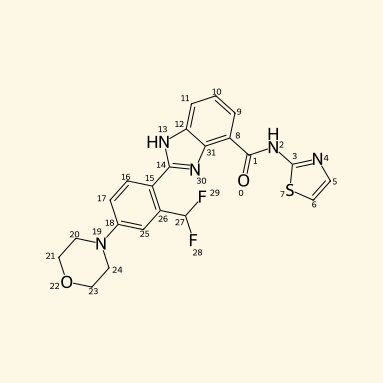 O=C(Nc1nccs1)c1cccc2[nH]c(-c3ccc(N4CCOCC4)cc3C(F)F)nc12